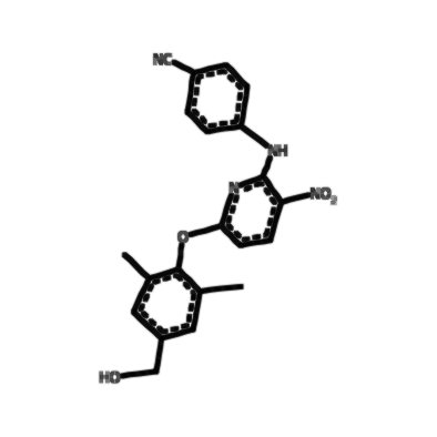 Cc1cc(CO)cc(C)c1Oc1ccc([N+](=O)[O-])c(Nc2ccc(C#N)cc2)n1